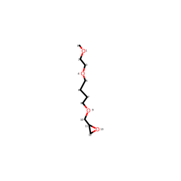 COCCOCCCCOCC1CO1